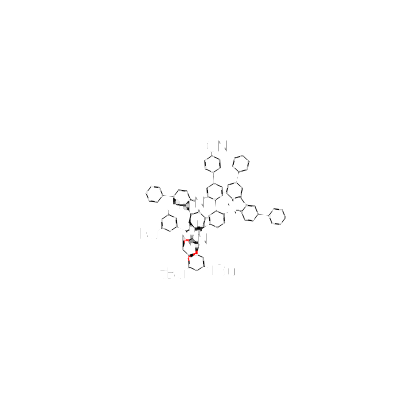 CC(C)(C)c1cc(-c2nc(-c3cc(C(C)(C)C)cc(C(C)(C)C)c3)nc(-c3ccc(-n4c5ccc(-c6ccccc6)cc5c5cc(-c6ccccc6)ccc54)c(-c4ccc(-c5ccc(C#N)cc5)cc4-n4c5ccc(-c6ccccc6)cc5c5cc(-c6ccccc6)ccc54)c3)n2)cc(C(C)(C)C)c1